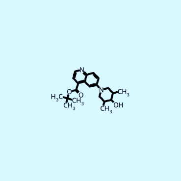 CC1CN(c2ccc3nccc(C(=O)OC(C)(C)C)c3c2)CC(C)C1O